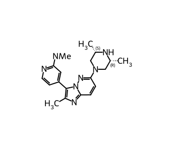 CNc1cc(-c2c(C)nc3ccc(N4C[C@@H](C)N[C@@H](C)C4)nn23)ccn1